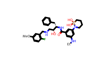 CCNc1cc(C(=O)N[C@@H](Cc2ccccc2)[C@H](O)CNCc2cc(OC)ccc2F)cc(N2CCCCS2(O)O)c1